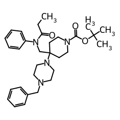 CCC(=O)N(CC1(N2CCN(Cc3ccccc3)CC2)CCN(C(=O)OC(C)(C)C)CC1)c1ccccc1